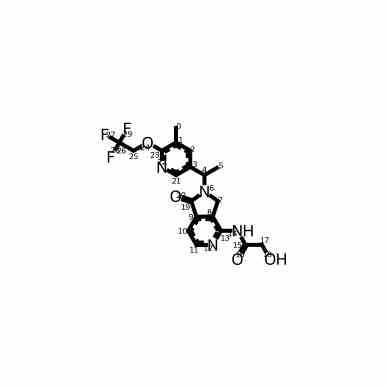 Cc1cc(C(C)N2Cc3c(ccnc3NC(=O)CO)C2=O)cnc1OCC(F)(F)F